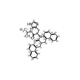 CC(C)NC(=O)C(Cc1c[nH]cn1)NC(=O)C(Cc1cccc2ccccc12)Cc1cccc2ccccc12